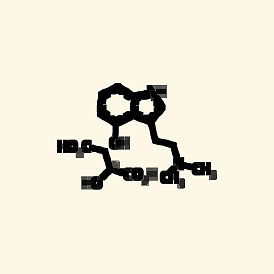 CN(C)CCc1c[nH]c2cccc(O)c12.O=C(O)C[C@H](O)C(=O)O